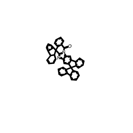 O=C1c2ccccc2C2(c3ccccc3C3C=CC=CC32)c2nc3cc4c(cc3n21)-c1ccccc1C41c2ccccc2-c2ccccc21